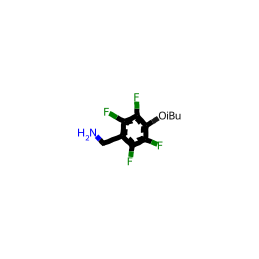 CC(C)COc1c(F)c(F)c(CN)c(F)c1F